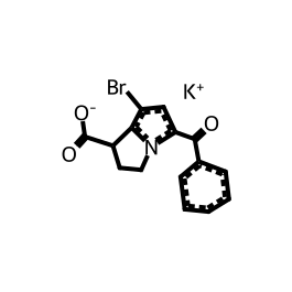 O=C(c1ccccc1)c1cc(Br)c2n1CCC2C(=O)[O-].[K+]